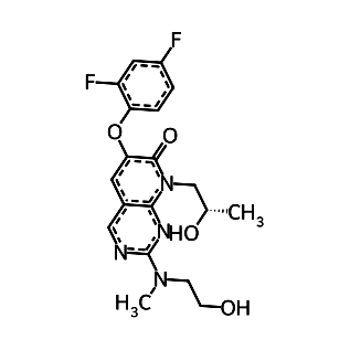 C[C@H](O)Cn1c(=O)c(Oc2ccc(F)cc2F)cc2cnc(N(C)CCO)nc21